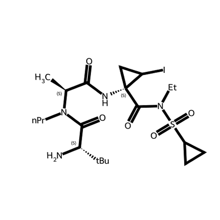 CCCN(C(=O)[C@@H](N)C(C)(C)C)[C@@H](C)C(=O)N[C@]1(C(=O)N(CC)S(=O)(=O)C2CC2)CC1I